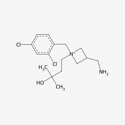 CC(C)(O)CC[N+]1(Cc2ccc(Cl)cc2Cl)CC(CN)C1